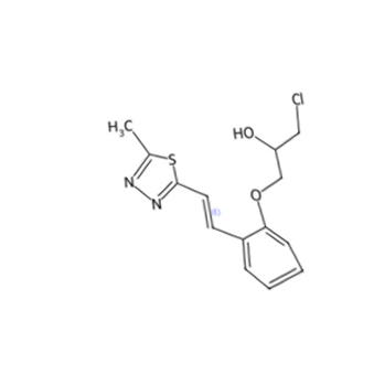 Cc1nnc(/C=C/c2ccccc2OCC(O)CCl)s1